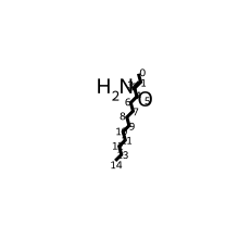 C/C=C(\N)C(=O)CCCCCCCCC